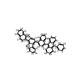 c1ccc(-c2c3ccccc3c(-c3ccc(-c4cc5sc6c7ccccc7ccc6c5c5oc6ccccc6c45)c4ccccc34)c3ccccc23)cc1